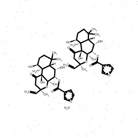 C=C[C@@]1(C)CC(=O)[C@]2(O)[C@@]3(C)[C@@H](O)CCC(C)(C)[C@@H]3[C@H](O)[C@H](OC(=O)c3ccoc3)[C@@]2(C)O1.C=C[C@@]1(C)CC(=O)[C@]2(O)[C@@]3(C)[C@@H](O)CCC(C)(C)[C@@H]3[C@H](O)[C@H](OC(=O)c3ccoc3)[C@@]2(C)O1.O